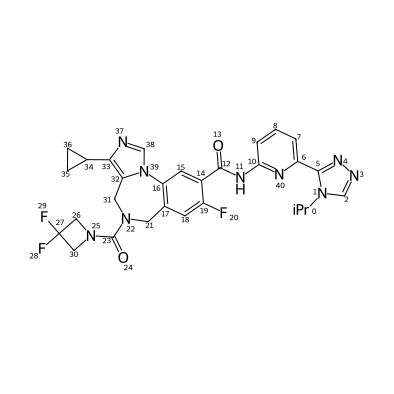 CC(C)n1cnnc1-c1cccc(NC(=O)c2cc3c(cc2F)CN(C(=O)N2CC(F)(F)C2)Cc2c(C4CC4)ncn2-3)n1